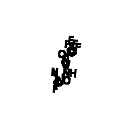 N#C[C@@H]1C[C@H](F)CN1C(=O)CNC1C2CN(C(=O)c3ccc(F)c(C(F)(F)F)c3)CC21